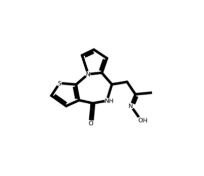 CC(CC1NC(=O)c2ccsc2-n2cccc21)=NO